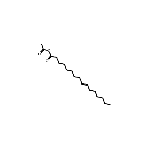 CCCCCCC=CCCCCCCCC(=O)OC(C)=O